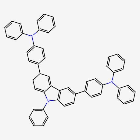 C1=c2c(n(-c3ccccc3)c3ccc(-c4ccc(N(c5ccccc5)c5ccccc5)cc4)cc23)=CCC1c1ccc(N(c2ccccc2)c2ccccc2)cc1